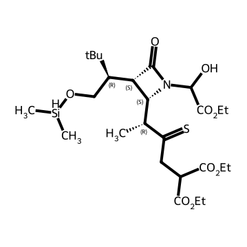 CCOC(=O)C(CC(=S)[C@H](C)[C@@H]1[C@H]([C@@H](CO[SiH](C)C)C(C)(C)C)C(=O)N1C(O)C(=O)OCC)C(=O)OCC